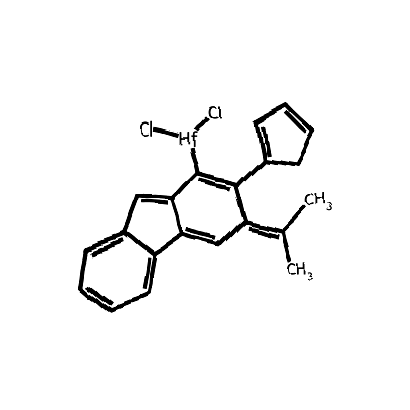 CC(C)=c1cc2c([c]([Hf]([Cl])[Cl])c1C1=CC=CC1)=Cc1ccccc1-2